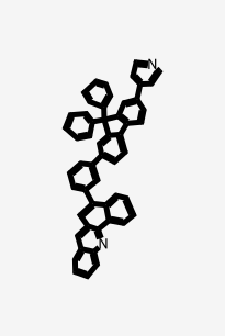 c1ccc(C2(c3ccccc3)c3cc(-c4ccncc4)ccc3-c3ccc(-c4cccc(-c5cc6cc7ccccc7nc6c6ccccc56)c4)cc32)cc1